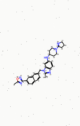 Cc1nc(-c2ccc3ccc(Cn4c(C(C)C)nc5ccc(NC6CCN(C7=NCCC7)CC6)cc54)cc3c2)no1